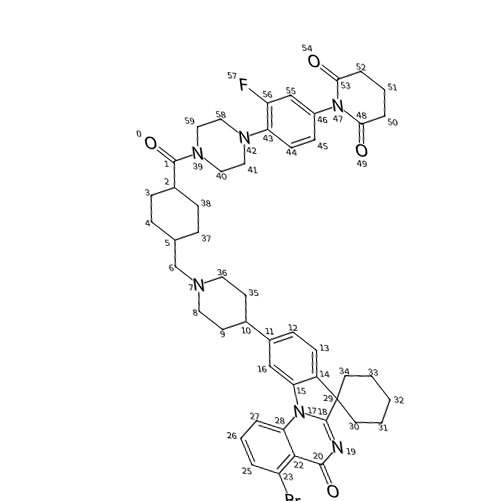 O=C(C1CCC(CN2CCC(c3ccc4c(c3)-n3c(nc(=O)c5c(Br)cccc53)C43CCCCC3)CC2)CC1)N1CCN(c2ccc(N3C(=O)CCCC3=O)cc2F)CC1